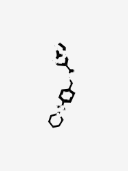 O=C(NCc1ccc(S(=O)(=O)N2CCCCC2)cc1)c1cnc2nccn2c1